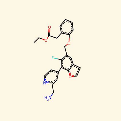 CCOC(=O)Cc1ccccc1OCc1cc2ccoc2c(-c2ccnc(CN)c2)c1F